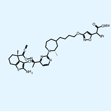 C=C=C(O/N=C(\C)c1ccnc(N2CCCC(CCCCOc3cc(C(C(=O)OC)C(C)C)on3)C[C@@H]2C)n1)[C@@]1(C)CCCc2sc(N)c(C#N)c21